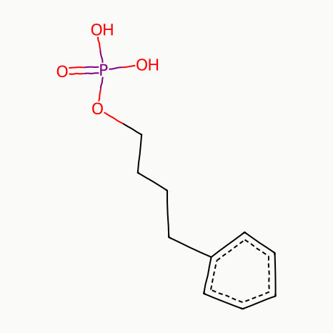 O=P(O)(O)OCCCCc1ccccc1